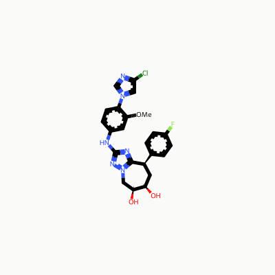 COc1cc(Nc2nc3n(n2)C[C@H](O)[C@H](O)C[C@@H]3c2ccc(F)cc2)ccc1-n1cnc(Cl)c1